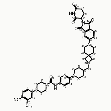 N#Cc1ccc(N2CCN(C(=O)Nc3ccc(N4CCC(CN5CC6(CCN(c7ccc8c(c7)C(=O)N(C7CCC(=O)NC7=O)C8=O)CC6)C5)CC4)nc3)CC2)cc1C(F)(F)F